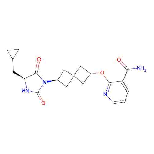 NC(=O)c1cccnc1O[C@H]1CC2(C1)C[C@H](N1C(=O)N[C@@H](CC3CC3)C1=O)C2